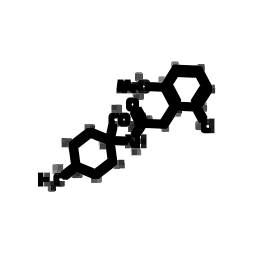 COc1cccc(Cl)c1CC(=O)NC1(C(=O)O)CCC(C)CC1